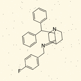 Fc1ccc(CN=C2C3CCN(CC3)C2C(c2ccccc2)c2ccccc2)cc1